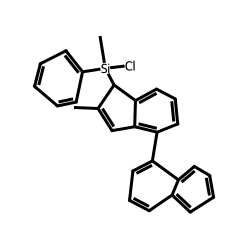 CC1=Cc2c(-c3cccc4ccccc34)cccc2C1[Si](C)(Cl)c1ccccc1